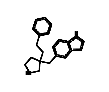 c1ccc(CCC2(Cc3ccc4[nH]ccc4c3)CCNC2)cc1